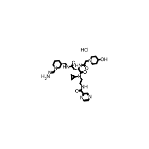 Cl.NN=CN1CCC[C@@H](CNC(=O)C[C@H](NC(=O)CN2CCC(O)CC2)C(=O)N(CCNC(=O)c2cnccn2)C2CC2)C1